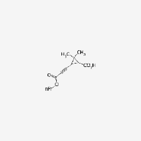 CCCOC(=O)C#CC1C(C(=O)O)C1(C)C